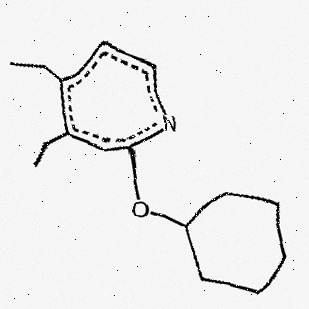 Cc1ccnc(OC2CCCCC2)c1C